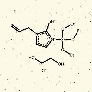 C=CCn1cc[n+]([Si](OCC)(OCC)OCC)c1CCC.OCCO.[Cl-]